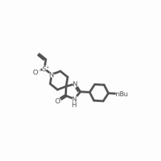 C=C[S+]([O-])N1CCC2(CC1)N=C(C1CCC(CCCC)CC1)NC2=O